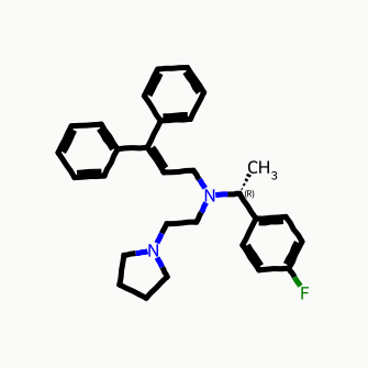 C[C@H](c1ccc(F)cc1)N(CC=C(c1ccccc1)c1ccccc1)CCN1CCCC1